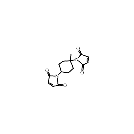 CC1(N2C(=O)C=CC2=O)CCC(N2C(=O)C=CC2=O)CC1